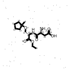 CCOC(=O)[C@H](COC1(C)CCCC1)NC(=O)[C@@H](N)CC(=O)O